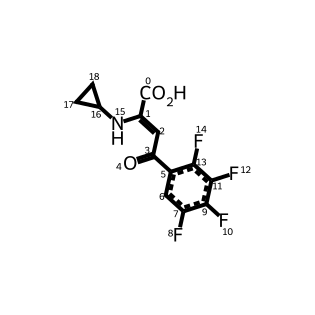 O=C(O)C(=CC(=O)c1cc(F)c(F)c(F)c1F)NC1CC1